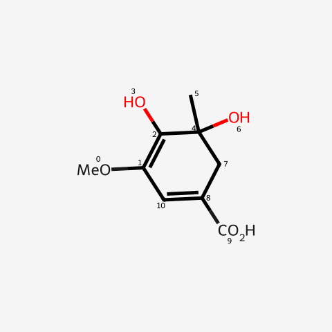 COC1=C(O)C(C)(O)CC(C(=O)O)=C1